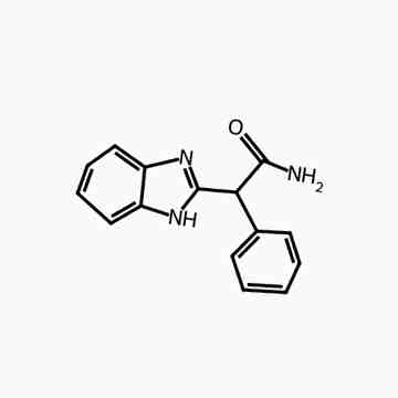 NC(=O)C(c1ccccc1)c1nc2ccccc2[nH]1